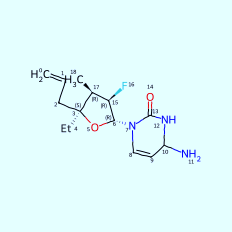 C=CC[C@]1(CC)O[C@@H](N2C=CC(N)NC2=O)[C@H](F)[C@@H]1C